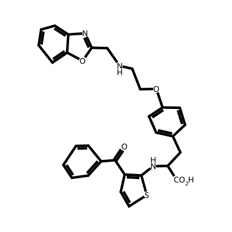 O=C(c1ccccc1)c1ccsc1NC(Cc1ccc(OCCNCc2nc3ccccc3o2)cc1)C(=O)O